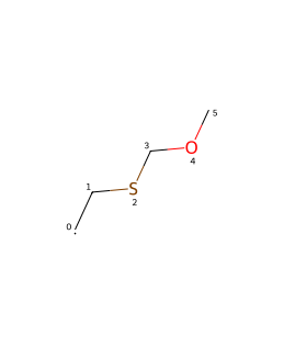 [CH2]CSCOC